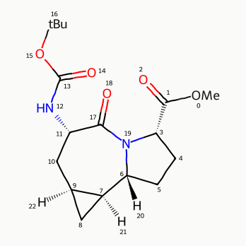 COC(=O)[C@@H]1CC[C@@H]2[C@H]3C[C@H]3C[C@H](NC(=O)OC(C)(C)C)C(=O)N21